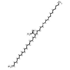 CCCCCCCCCCCCCCCCCCN(CCCCCCCCCCCCCCCCCC)C(=N)N